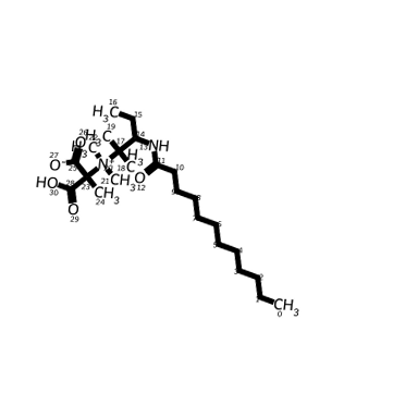 CCCCCCCCCCCC(=O)NC(CC)C(C)(C)[N+](C)(C)C(C)(C(=O)[O-])C(=O)O